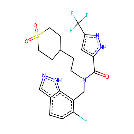 O=C(c1cc(C(F)(F)F)n[nH]1)N(CCC1CCS(=O)(=O)CC1)Cc1c(F)ccc2cn[nH]c12